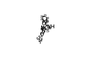 C[Si](C)(C)CCOCn1cnc2c1CCNC2c1cc2ccccc2o1